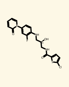 O=C(NC[C@H](O)CNc1ccc(-n2ccccc2=O)cc1F)c1ccc(Cl)s1